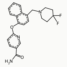 NC(=O)c1ccc(Oc2ccc(CN3CCC(F)(F)CC3)c3ccccc23)nc1